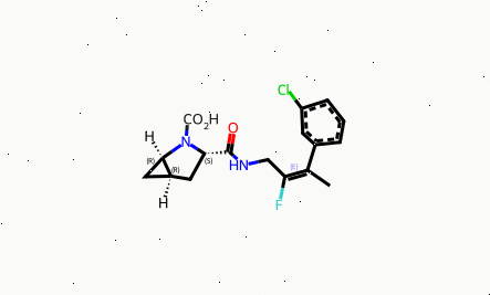 C/C(=C(\F)CNC(=O)[C@@H]1C[C@H]2C[C@H]2N1C(=O)O)c1cccc(Cl)c1